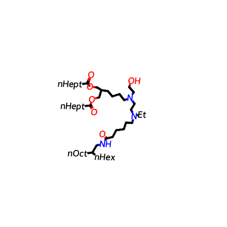 CCCCCCCCC(CCCCCC)CNC(=O)CCCCCN(CC)CCN(CCO)CCCCC(COC(=O)CCCCCCC)COC(=O)CCCCCCC